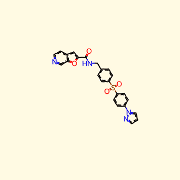 O=C(NCc1ccc(S(=O)(=O)c2ccc(-n3cccn3)cc2)cc1)c1cc2ccncc2o1